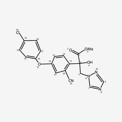 COC(=O)C(O)(Cn1cncn1)c1ccc(Oc2ccc(Cl)cc2)cc1C#N